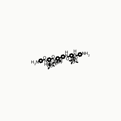 CCO[Si](OCC)(OCC)Oc1cc(C(=O)Nc2ccc(-c3ccc(NC(=O)c4ccc(NC(=O)c5ccc(N)cc5)c(O[Si](OCC)(OCC)OCC)c4)c(C(F)(F)F)c3C(F)(F)F)cc2)ccc1NC(=O)c1ccc(N)cc1